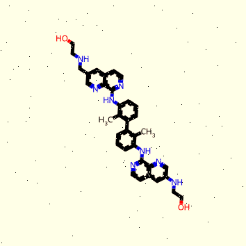 Cc1c(Nc2nccc3cc(CNCCO)cnc23)cccc1-c1cccc(Nc2nccc3cc(NCCO)cnc23)c1C